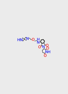 O=C1CCC(N2C(=O)c3cccc(NCCOCCN4CC5(CNC5)C4)c3C2=O)C(=O)N1